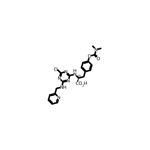 CN(C)C(=O)Oc1ccc(C[C@H](Nc2nc(Cl)nc(NCc3ccccn3)n2)C(=O)O)cc1